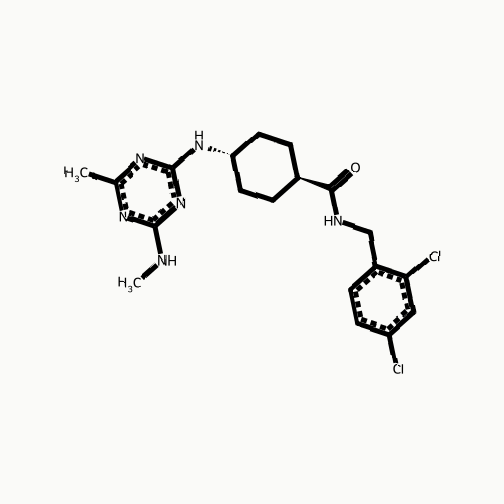 CNc1nc(C)nc(N[C@H]2CC[C@H](C(=O)NCc3ccc(Cl)cc3Cl)CC2)n1